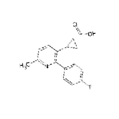 Cc1ccc(C2CC2)c(-c2ccc(F)cc2)n1.O=CO